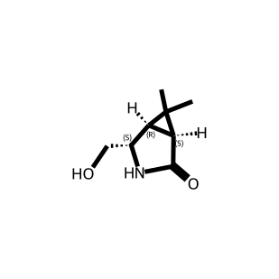 CC1(C)[C@@H]2[C@@H](CO)NC(=O)[C@@H]21